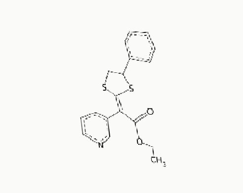 CCOC(=O)C(=C1SCC(c2ccccc2)S1)c1cccnc1